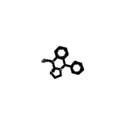 CCCCN1C2=NCCN2C(c2ccccc2)c2ccccc21